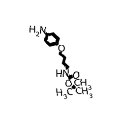 CC(C)(C)OC(=O)NCCCCOC1=CCC(N)C=C1